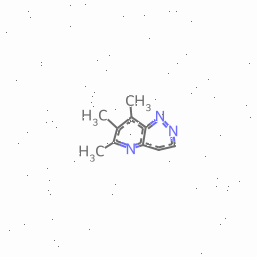 Cc1nc2ccnnc2c(C)c1C